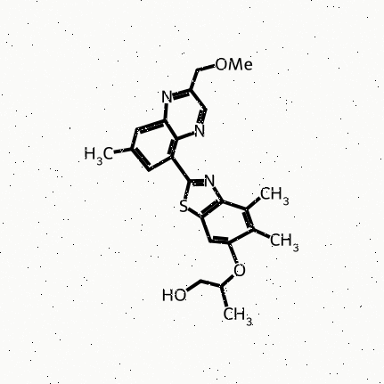 COCc1cnc2c(-c3nc4c(C)c(C)c(OC(C)CO)cc4s3)cc(C)cc2n1